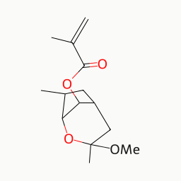 C=C(C)C(=O)OC1C2CC(C)C1OC(C)(OC)C2